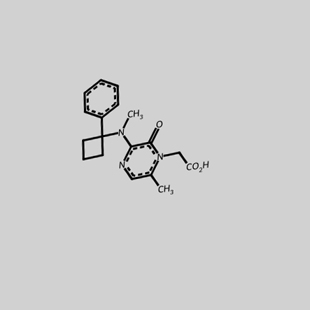 Cc1cnc(N(C)C2(c3ccccc3)CCC2)c(=O)n1CC(=O)O